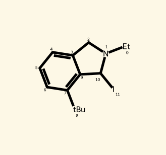 CCN1Cc2cccc(C(C)(C)C)c2C1I